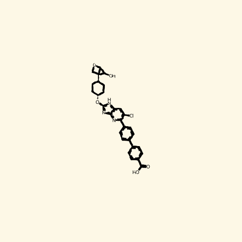 O=C(O)c1ccc(-c2ccc(-c3nc4nc(O[C@H]5CC[C@H](C67COC6C7O)CC5)[nH]c4cc3Cl)cc2)cc1